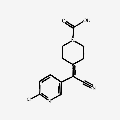 N#CC(=C1CCN(C(=O)O)CC1)c1ccc(Cl)nc1